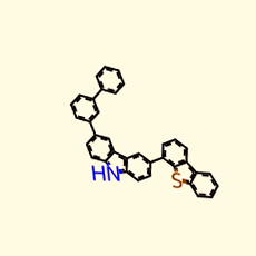 c1ccc(-c2cccc(-c3ccc4[nH]c5ccc(-c6cccc7c6sc6ccccc67)cc5c4c3)c2)cc1